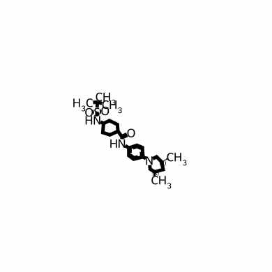 C[C@@H]1C[C@@H](C)CN(c2ccc(NC(=O)C3CCC(NS(=O)(=O)C(C)(C)C)CC3)cc2)C1